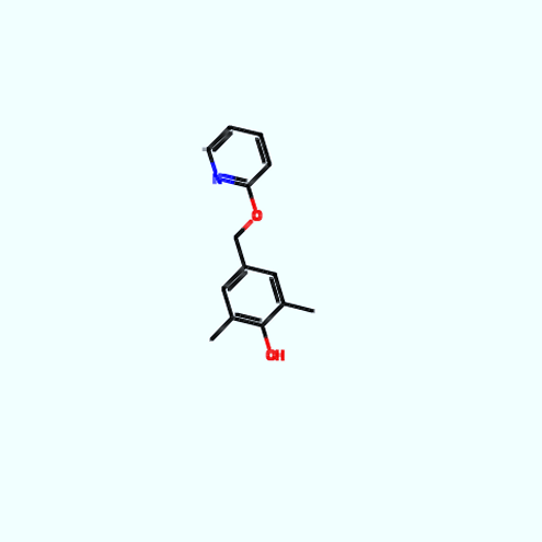 Cc1cc(COc2ccc[c]n2)cc(C)c1O